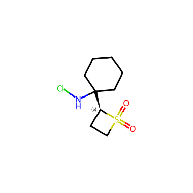 O=S1(=O)CC[C@H]1C1(NCl)CCCCC1